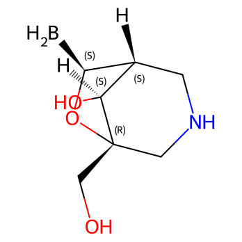 B[C@@H]1O[C@@]2(CO)CNC[C@@H]1[C@@H]2O